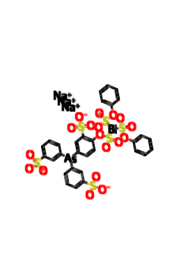 O=S(=O)([O-])c1cccc([As](c2cccc(S(=O)(=O)[O-])c2)c2ccc(O[S](=O)(=O)[Bi]([S](=O)(=O)Oc3ccccc3)[S](=O)(=O)Oc3ccccc3)c(S(=O)(=O)[O-])c2)c1.[Na+].[Na+].[Na+]